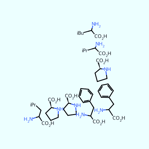 CC(C)C(N)C(=O)O.CC(C)CC(N)C(=O)O.CCC(C)C(N)C(=O)O.NC(Cc1ccccc1)C(=O)O.NC(Cc1ccccc1)C(=O)O.O=C(O)[C@@H]1CCCN1.O=C(O)[C@@H]1CCCN1.O=C(O)[C@@H]1CCCN1